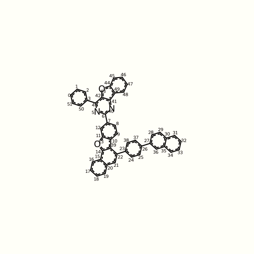 c1ccc(-c2nc(-c3ccc4c(c3)oc3c5ccccc5cc(-c5ccc(-c6ccc7ccccc7c6)cc5)c43)nc3c2oc2ccccc23)cc1